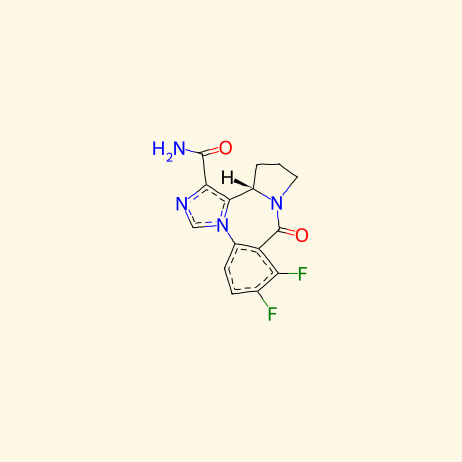 NC(=O)c1ncn2c1[C@@H]1CCCN1C(=O)c1c-2ccc(F)c1F